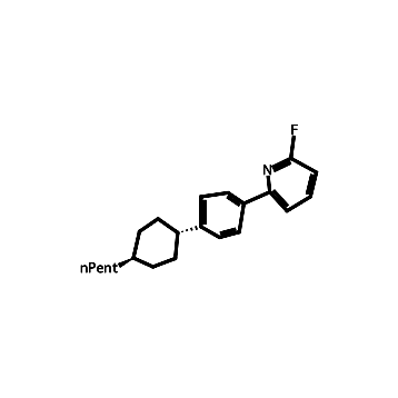 CCCCC[C@H]1CC[C@H](c2ccc(-c3cccc(F)n3)cc2)CC1